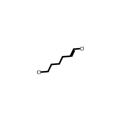 ClC=CCCCCCl